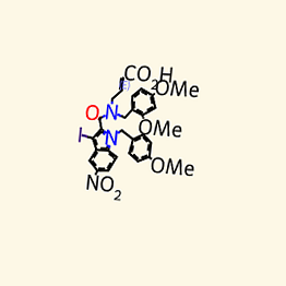 COc1ccc(Cn2c(C(=O)N(C/C=C/C(=O)O)Cc3ccc(OC)cc3OC)c(I)c3cc([N+](=O)[O-])ccc32)cc1